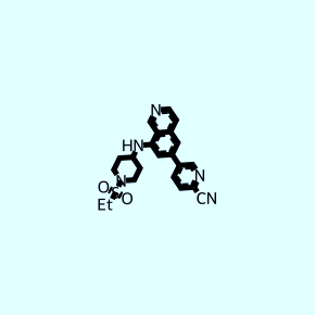 CCS(=O)(=O)N1CCC(Nc2cc(-c3ccc(C#N)nc3)cc3ccncc23)CC1